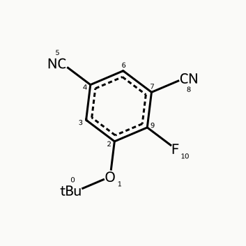 CC(C)(C)Oc1cc(C#N)cc(C#N)c1F